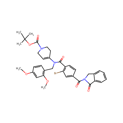 COc1ccc(CN(C(=O)c2ccc(C(=O)N3Cc4ccccc4C3=O)cc2Br)C2=CCN(C(=O)OC(C)(C)C)CC2)c(OC)c1